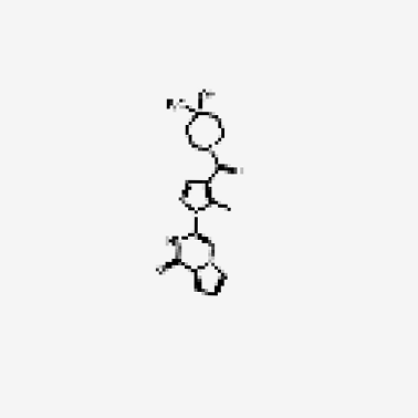 Cc1c(C(=O)N2CCC(O)(C(F)(F)F)CC2)cnn1-c1nn2cccc2c(=O)[nH]1